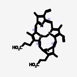 C=CC1=C(C)C2=NC/1=C\c1c(C)c(C=C)c3n1Cn1/c(c(C)c(CCC(=O)O)/c1=C/C1=NC(=C\3)/C(C)=C1CCC(=O)O)=C\2